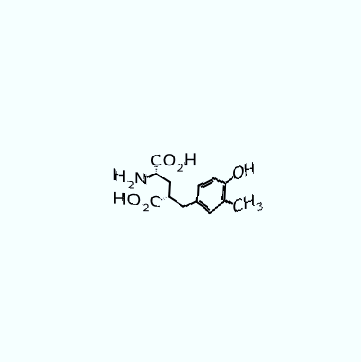 Cc1cc(C[C@@H](C[C@H](N)C(=O)O)C(=O)O)ccc1O